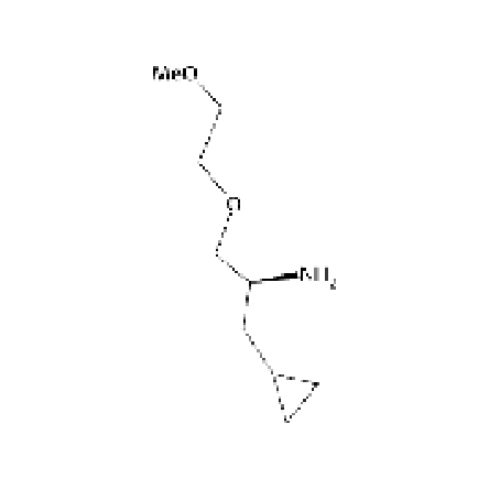 COCCOC[C@@H](N)CC1CC1